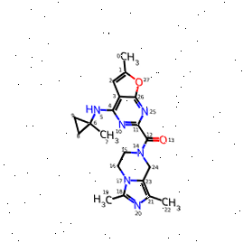 Cc1cc2c(NC3(C)CC3)nc(C(=O)N3CCn4c(C)nc(C)c4C3)nc2o1